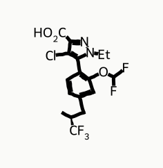 CCn1nc(C(=O)O)c(Cl)c1-c1ccc(C[C@H](C)C(F)(F)F)cc1OC(F)F